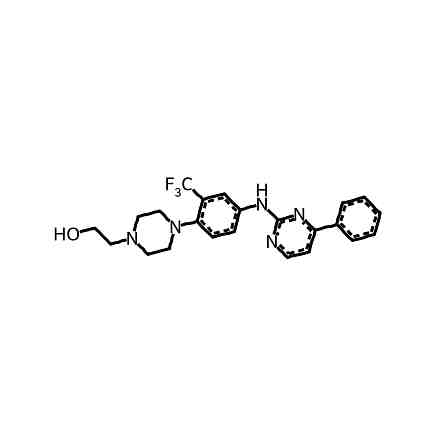 OCCN1CCN(c2ccc(Nc3nccc(-c4ccccc4)n3)cc2C(F)(F)F)CC1